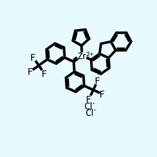 FC(F)(F)c1cccc([C](c2cccc(C(F)(F)F)c2)=[Zr+2]([c]2cccc3c2Cc2ccccc2-3)[CH]2C=CC=C2)c1.[Cl-].[Cl-]